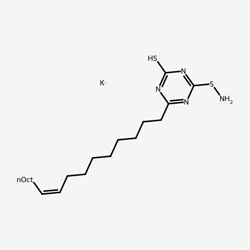 CCCCCCCC/C=C\CCCCCCCCc1nc(S)nc(SN)n1.[K]